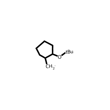 [CH2]C1CCCCC1OC(C)(C)C